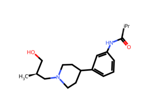 CC(C)C(=O)Nc1cccc(C2CCN(C[C@@H](C)CO)CC2)c1